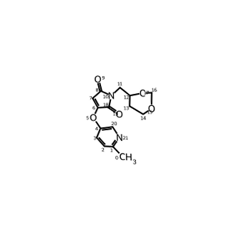 Cc1ccc(OC2=CC(=O)N(CC3CCOCC3)C2=O)cn1